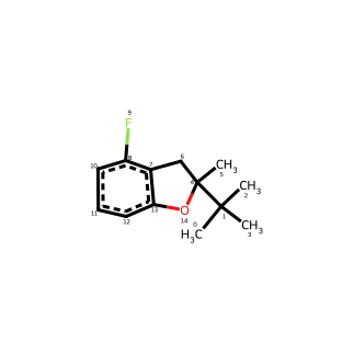 CC(C)(C)C1(C)Cc2c(F)cccc2O1